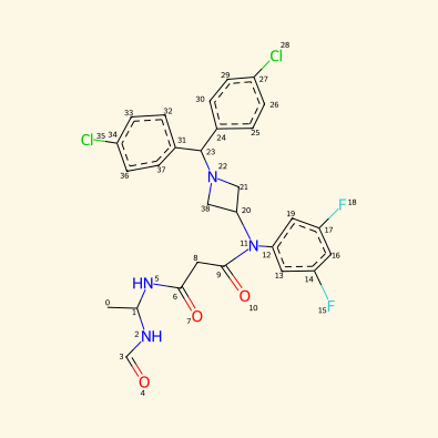 CC(NC=O)NC(=O)CC(=O)N(c1cc(F)cc(F)c1)C1CN(C(c2ccc(Cl)cc2)c2ccc(Cl)cc2)C1